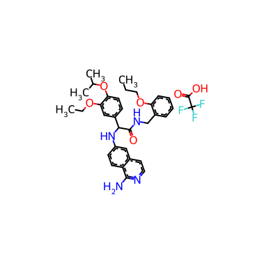 CCCOc1ccccc1CNC(=O)C(Nc1ccc2c(N)nccc2c1)c1ccc(OC(C)C)c(OCC)c1.O=C(O)C(F)(F)F